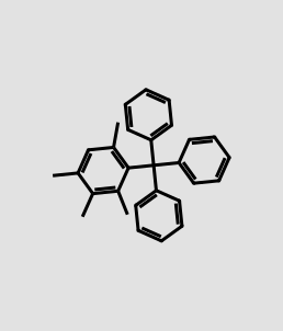 Cc1cc(C)c(C(c2ccccc2)(c2ccccc2)c2ccccc2)c(C)c1C